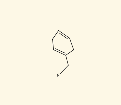 FCC1=CCC=CC1